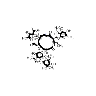 CC[C@H]1OC(=O)C[C@@H](O)[C@H](C)[C@@H](O[C@@H]2O[C@H](C)[C@@H](O[C@H]3C[C@@](C)(O)[C@@H](O)[C@H](C)O3)[C@H](N(C)C)[C@H]2O)[C@@H](CC=O)C[C@@H](C)C(=O)/C=C/C(C)=C/[C@@H]1CO[C@@H]1O[C@H](C)[C@@H](O)[C@@H](OC)[C@H]1OC.O=C(O)[C@H](O)[C@@H](O)C(=O)O